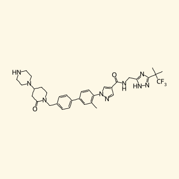 Cc1cc(-c2ccc(CN3CCC(N4CCNCC4)CC3=O)cc2)ccc1-n1cc(C(=O)NCc2nc(C(C)(C)C(F)(F)F)n[nH]2)cn1